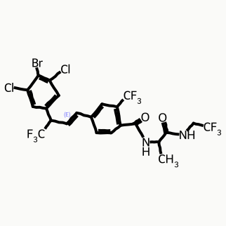 CC(NC(=O)c1ccc(/C=C/C(c2cc(Cl)c(Br)c(Cl)c2)C(F)(F)F)cc1C(F)(F)F)C(=O)NCC(F)(F)F